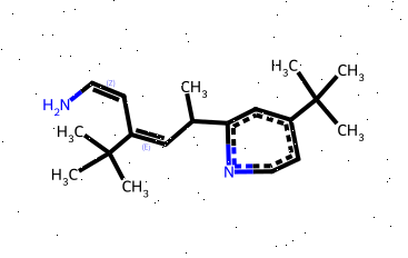 CC(/C=C(\C=C/N)C(C)(C)C)c1cc(C(C)(C)C)ccn1